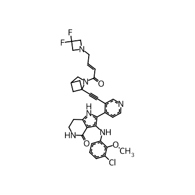 COc1c(Cl)cccc1Nc1c(-c2ccncc2C#CC23CC(CN2C(=O)/C=C/CN2CC(F)(F)C2)C3)[nH]c2c1C(=O)NCC2